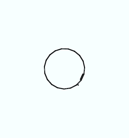 [CH]1/C=C\CCCCCCCCCCCCCCCC1